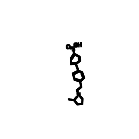 CC1CCCN1CCc1ccc(-c2ccc(S(=O)O)cc2)cc1